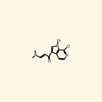 CCn1cc(C(=O)C=CN(C)C)c2ccnc(Cl)c21